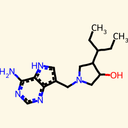 CCC(CC)C1CN(Cc2c[nH]c3c(N)ncnc23)CC1O